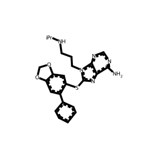 CC(C)NCCCn1c(Sc2cc3c(cc2-c2ccccc2)OCO3)nc2c(N)ncnc21